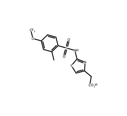 Cc1cc(OC(F)(F)F)ccc1S(=O)(=O)Nc1nc(CC(=O)O)cs1